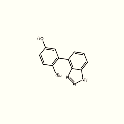 CC(C)(C)c1ccc(O)cc1-c1cccc2[nH]nnc12